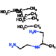 CC(=O)O.CC(=O)O.CC(=O)O.CC(=O)O.CC(=O)O.CC(CN)NCCN